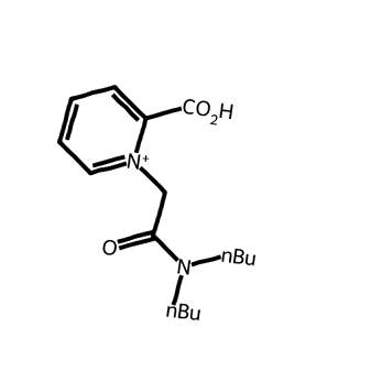 CCCCN(CCCC)C(=O)C[n+]1ccccc1C(=O)O